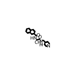 C[C@@H](NC(=O)c1ccc2ccccc2c1)C(=O)NCc1ccncc1